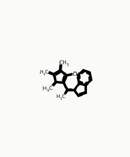 CC1=C(C)C(C)C(C(C)C2C=Cc3ccccc32)=C1C